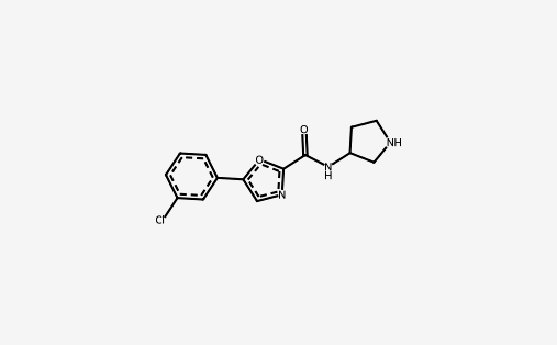 O=C(NC1CCNC1)c1ncc(-c2cccc(Cl)c2)o1